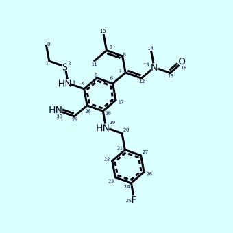 CCSNc1cc(/C(C=C(C)C)=C/N(C)C=O)cc(NCc2ccc(F)cc2)c1C=N